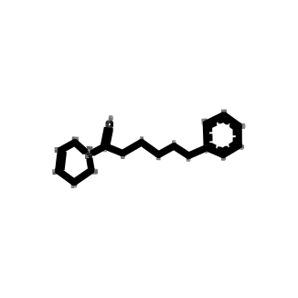 O=C(CCCCCc1ccccc1)N1CC=CCC1